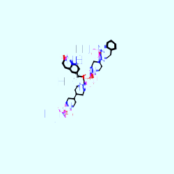 Cc1cc([C@@H](C)C(OC(=O)N2CCC(N3CCc4ccccc4NC3=O)CC2)C(=O)N2CCC(C3CCN(S(N)(=O)=O)CC3)CC2)cc2ccc(=O)[nH]c12